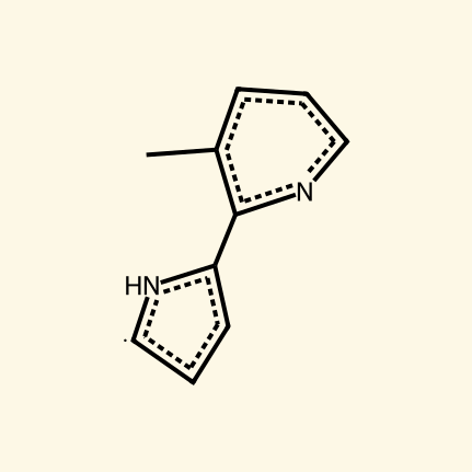 Cc1cccnc1-c1cc[c][nH]1